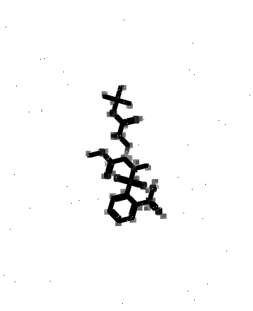 COC(=O)[C@H](CNC(=O)OC(C)(C)C)N(C)S(=O)(=O)c1ccccc1[N+](=O)[O-]